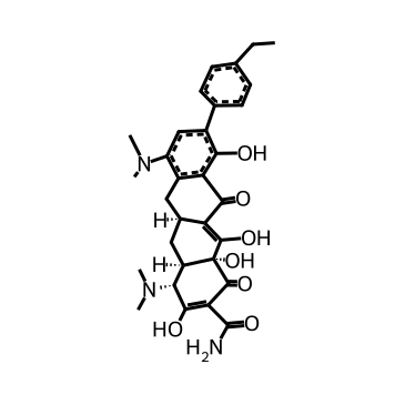 CCc1ccc(-c2cc(N(C)C)c3c(c2O)C(=O)C2=C(O)[C@@]4(O)C(=O)C(C(N)=O)=C(O)[C@H](N(C)C)[C@H]4C[C@H]2C3)cc1